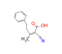 CC(CCc1ccccc1)=C(C#N)C(=O)O